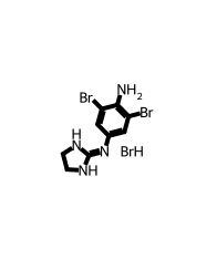 Br.Nc1c(Br)cc(N=C2NCCN2)cc1Br